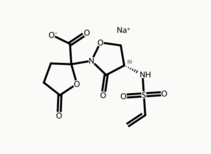 C=CS(=O)(=O)N[C@H]1CON(C2(C(=O)[O-])CCC(=O)O2)C1=O.[Na+]